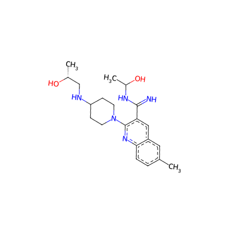 Cc1ccc2nc(N3CCC(NC[C@@H](C)O)CC3)c(C(=N)NC(C)O)cc2c1